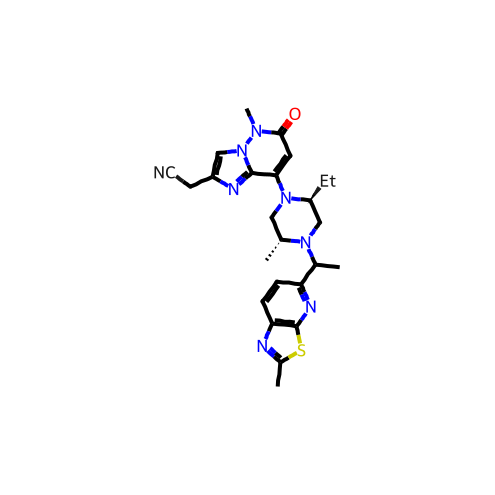 CC[C@H]1CN(C(C)c2ccc3nc(C)sc3n2)[C@H](C)CN1c1cc(=O)n(C)n2cc(CC#N)nc12